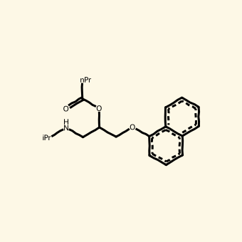 CCCC(=O)OC(CNC(C)C)COc1cccc2ccccc12